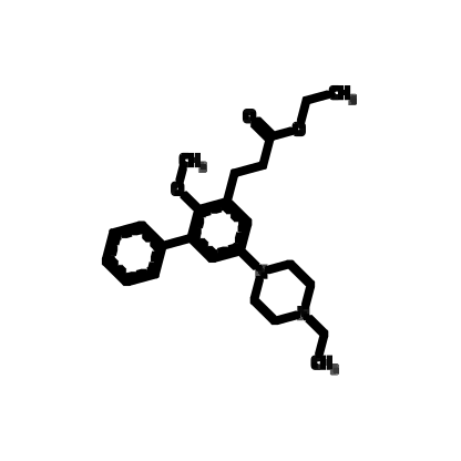 CCOC(=O)CCc1cc(N2CCN(CC)CC2)cc(-c2ccccc2)c1OC